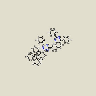 c1ccc(-c2nc(-c3ccc4c(c3)C3(c5ccccc5-c5ccccc53)c3ccccc3-4)nc(-c3ccc4ccc5c(-c6ccccc6)nc(-c6ccccc6)nc5c4c3)n2)cc1